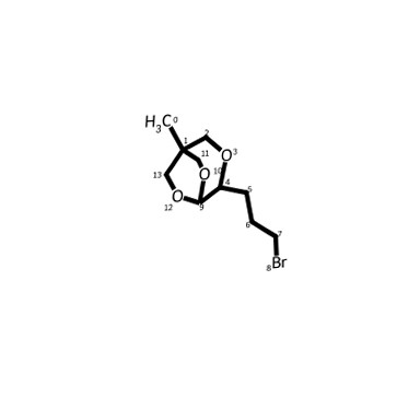 CC12COC(CCCBr)C(OC1)OC2